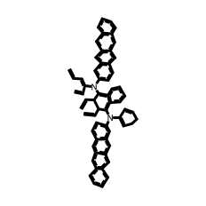 C=C/C=C(\C=C)N(C1=c2ccccc2=C(N(C2=CCCC=C2)c2ccc3cc4cc5ccccc5cc4cc3c2)C(C=C)C1C=C)c1ccc2cc3cc4ccccc4cc3cc2c1